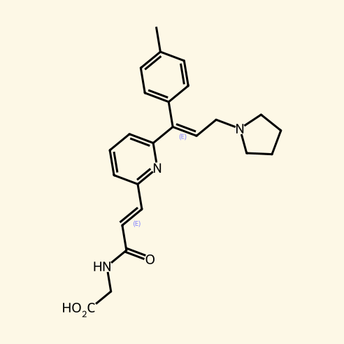 Cc1ccc(/C(=C\CN2CCCC2)c2cccc(/C=C/C(=O)NCC(=O)O)n2)cc1